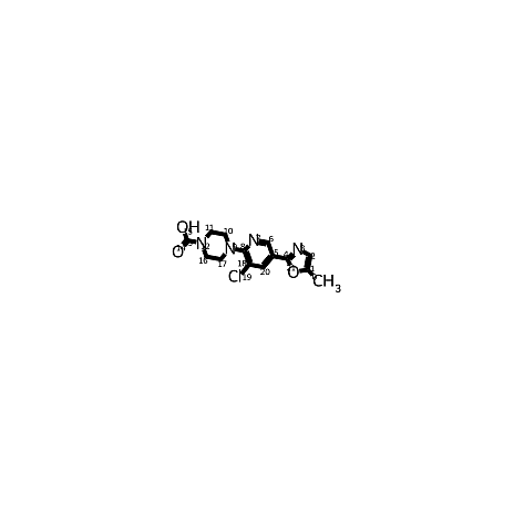 Cc1cnc(-c2cnc(N3CCN(C(=O)O)CC3)c(Cl)c2)o1